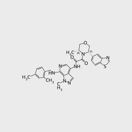 Cc1ccc(CNc2ncc(NC(=O)C(=O)N3[C@H](C)COC[C@@H]3c3ccc4scnc4c3)c3cnn(C)c23)c(C)c1